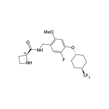 COc1cc(O[C@H]2CC[C@H](C(F)(F)F)CC2)c(F)cc1CNC(=O)[C@@H]1CCN1